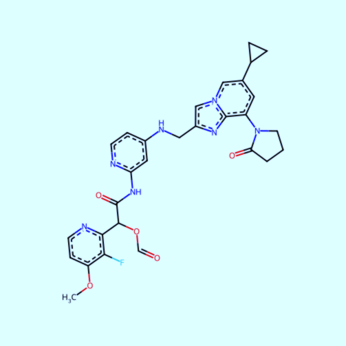 COc1ccnc(C(OC=O)C(=O)Nc2cc(NCc3cn4cc(C5CC5)cc(N5CCCC5=O)c4n3)ccn2)c1F